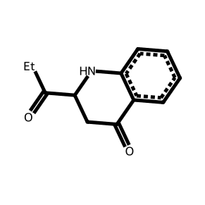 CCC(=O)C1CC(=O)c2ccccc2N1